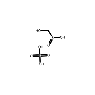 O=S(=O)(O)O.O=S(O)CO